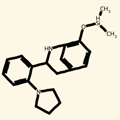 C[SiH](C)Oc1ccc2cc1NC(c1ccccc1N1CCCC1)C2